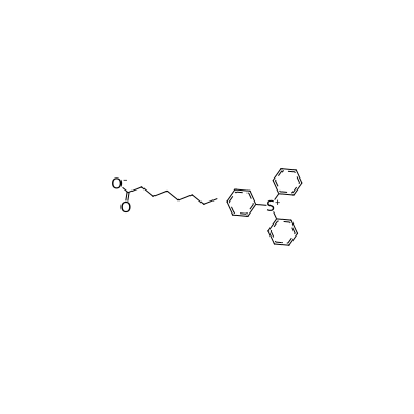 CCCCCCCC(=O)[O-].c1ccc([S+](c2ccccc2)c2ccccc2)cc1